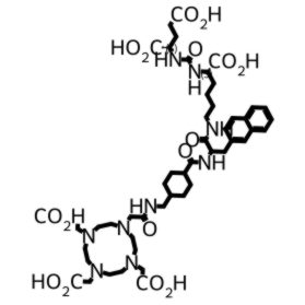 O=C(O)CC[C@H](NC(=O)N[C@@H](CCCCNC(=O)C(Cc1ccc2ccccc2c1)NC(=O)C1CCC(CNC(=O)CN2CCN(CC(=O)O)CCN(CC(=O)O)CCN(CC(=O)O)CC2)CC1)C(=O)O)C(=O)O